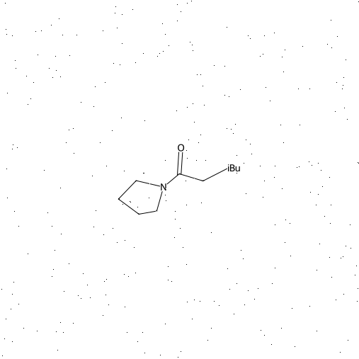 CCC(C)CC(=O)N1CCCC1